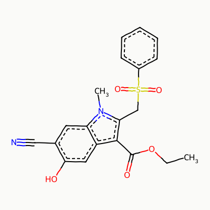 CCOC(=O)c1c(CS(=O)(=O)c2ccccc2)n(C)c2cc(C#N)c(O)cc12